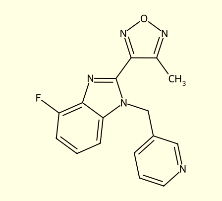 Cc1nonc1-c1nc2c(F)cccc2n1Cc1cccnc1